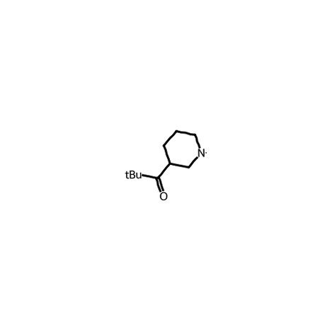 CC(C)(C)C(=O)C1CCC[N]C1